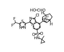 CC1(NS(=O)(=O)c2cc(C3=C[C@H]4CC[C@@H](C3)N4)c3c(Cl)nc(-c4nnc(C(F)F)s4)n3c2)CC1.O=CO